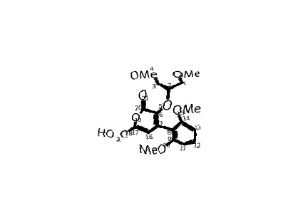 COCC(COC)Oc1c(-c2c(OC)cccc2OC)cc(C(=O)O)oc1=O